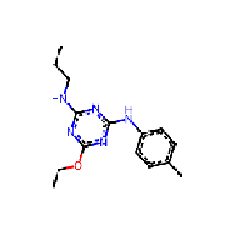 CCCNc1nc(Nc2ccc(C)cc2)nc(OCC)n1